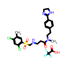 Cc1cc(S(=O)(=O)CNCCC(=O)N(C)CCc2ccc(C3=NCCN3)cc2)c(Cl)cc1Cl.O=C(O)C(F)(F)F